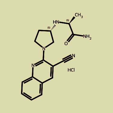 C[C@H](N[C@H]1CCN(c2nc3ccccc3cc2C#N)C1)C(N)=O.Cl